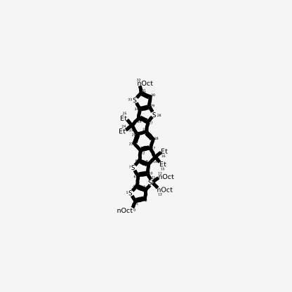 CCCCCCCCc1cc2c(s1)-c1sc3c(c1[Si]2(CCCCCCCC)CCCCCCCC)C(CC)(CC)c1cc2c(cc1-3)C(CC)(CC)c1c-2sc2cc(CCCCCCCC)sc12